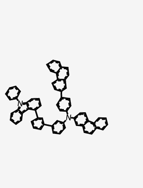 c1ccc(-n2c3ccccc3c3c(-c4cccc(-c5cccc(N(c6ccc(-c7ccc8c(ccc9ccccc98)c7)cc6)c6ccc7c(ccc8ccccc87)c6)c5)c4)cccc32)cc1